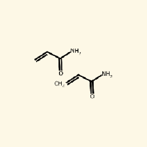 C.C=CC(N)=O.C=CC(N)=O